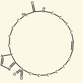 O=C1NCCCC/C=C\CCCCCCS(=O)(=O)c2ncnn2CCCCN1